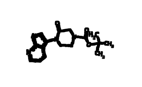 CC(C)(C)OC(=O)N1CCN(c2cnc3ncccn23)C(=O)C1